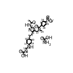 CC(=O)Nc1nc(CCc2ccc(NC=NC(=O)O)cc2)c(CN(C)C(=O)c2ccc([N+](=O)[O-])cc2)s1.NC(=O)O